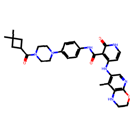 Cc1c(Nc2cc[nH]c(=O)c2C(=O)Nc2ccc(N3CCN(C(=O)C4CC(C)(C)C4)CC3)cc2)cnc2c1NCCO2